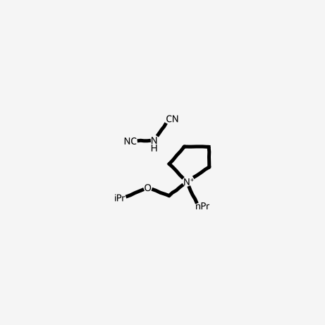 CCC[N+]1(COC(C)C)CCCC1.N#CNC#N